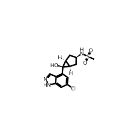 CS(=O)(=O)N[C@H]1C[C@@H]2[C@H](C1)[C@@]2(O)c1cc(Cl)cc2[nH]ncc12